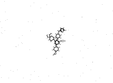 CCC1(CC)CCC(c2cc(N3CCC(OC)CC3)ccc2N2CCN(Cc3ccco3)CC2)CC1.Cl